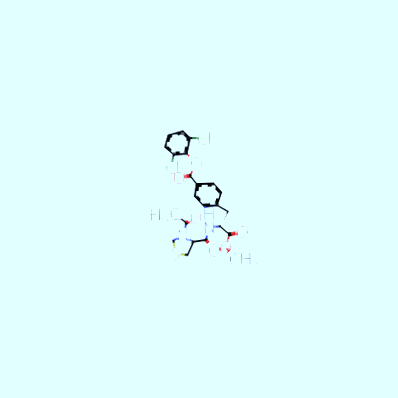 COC(=O)[C@H](Cc1ccc(C(=O)Oc2c(Cl)cccc2Cl)cc1)NC(=O)C1CSCN1C(C)=O